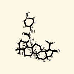 CC(C)C1=C2[C@H]3CC[C@@H]4[C@@]5(C)C(NC(=O)NC6CCN(C)CC6)CCC(C)(C)[C@@H]5CC[C@@]4(C)[C@]3(C)CC[C@@]2(C)CC1=O